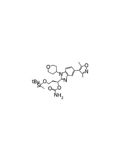 Cc1noc(C)c1-c1ccc2c(c1)nc([C@H](CCO[Si](C)(C)C(C)(C)C)OC(N)=O)n2C1CCOCC1